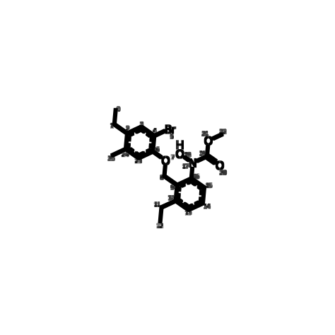 CCc1cc(Br)c(OCc2c(CC)cccc2N(O)C(=O)OC)cc1C